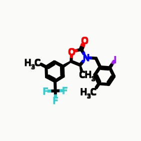 Cc1cc([C@H]2OC(=O)N(Cc3cc(C)ccc3I)[C@H]2C)cc(C(F)(F)F)c1